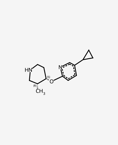 C[C@@H]1CNCC[C@@H]1Oc1ccc(C2CC2)cn1